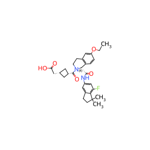 CCOc1ccc2c(c1)CCN(C(=O)[C@H]1C[C@@H](CC(=O)O)C1)[C@H]2C(=O)Nc1cc(F)c2c(c1)CCC2(C)C